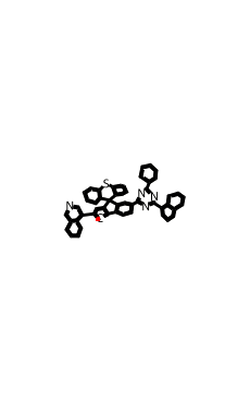 c1ccc(-c2nc(-c3ccc4c(c3)C3(c5ccccc5Sc5ccccc53)c3cc(-c5cncc6ccccc56)ccc3-4)nc(-c3cccc4ccccc34)n2)cc1